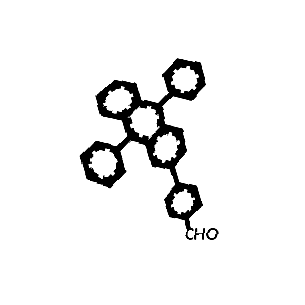 O=Cc1ccc(-c2ccc3c(-c4ccccc4)c4ccccc4c(-c4ccccc4)c3c2)cc1